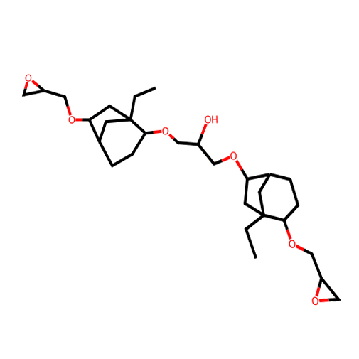 CCC12CC(CCC1OCC(O)COC1CC3(CC)CC1CCC3OCC1CO1)C(OCC1CO1)C2